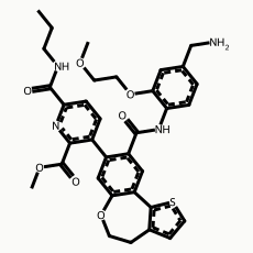 CCCNC(=O)c1ccc(-c2cc3c(cc2C(=O)Nc2ccc(CN)cc2OCCOC)-c2sccc2CCO3)c(C(=O)OC)n1